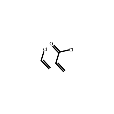 C=CC(=O)Cl.C=CCl